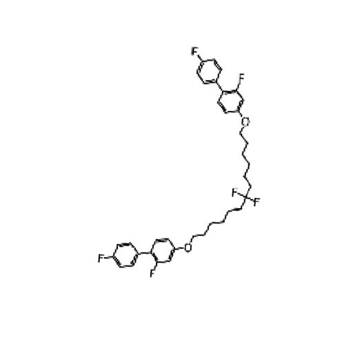 Fc1ccc(-c2ccc(OCCCCCCC(F)(F)CCCCCCOc3ccc(-c4ccc(F)cc4)c(F)c3)cc2F)cc1